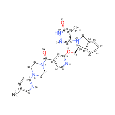 N#Cc1ccc(N2CCN(C(=O)c3ccnc(OC[C@@H]4c5ccccc5CN4c4cn[nH]c(=O)c4C(F)(F)F)c3)CC2)nc1